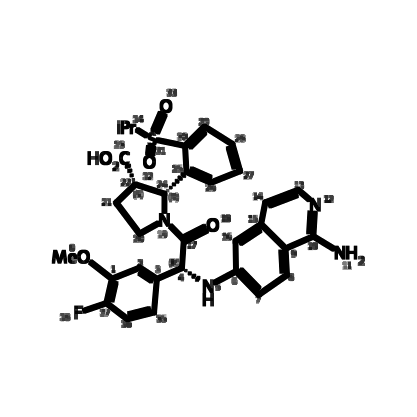 COc1cc([C@@H](Nc2ccc3c(N)nccc3c2)C(=O)N2CC[C@H](C(=O)O)[C@@H]2c2ccccc2S(=O)(=O)C(C)C)ccc1F